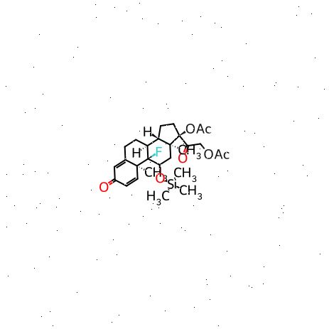 CC(=O)OCC(=O)[C@@]1(OC(C)=O)CC[C@H]2[C@@H]3CCC4=CC(=O)C=C[C@]4(C)[C@@]3(F)C(O[Si](C)(C)C)C[C@@]21C